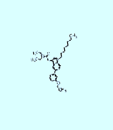 CCCCCCCCn1cc(CC(=O)N(CC)CC)c2cc(-c3cccc(OCC)c3)ccc21